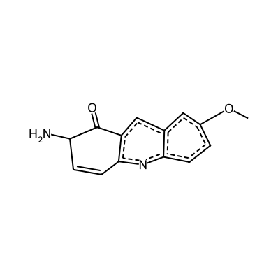 COc1ccc2nc3c(cc2c1)C(=O)C(N)C=C3